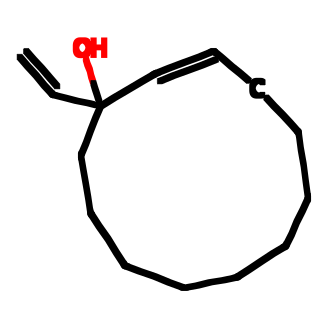 C=CC1(O)C=CCCCCCCCCC1